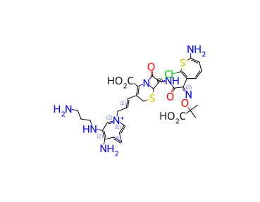 CC(C)(O/N=C(\C(=O)N[C@@H]1C(=O)N2C(C(=O)O)=C(/C=C/C[N+]3=C/C(NCCCN)=C(N)\C=C\C=C\3)CSC12)C1=C(Cl)SC(N)=CC=C1)C(=O)O